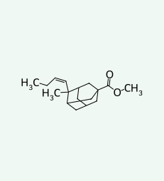 CC/C=C\C1(C)C2CC3CC1CC(C(=O)OC)(C3)C2